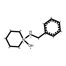 O[N+]1(NCc2ccccc2)CCCCC1